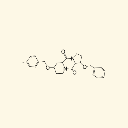 Cc1ccc(COC2CCN3C(=O)C4C(OCc5ccccc5)CCN4C(=O)C3C2)cc1